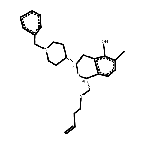 C=CCCNC[C@@H]1O[C@H](C2CCN(Cc3ccccc3)CC2)Cc2c1ccc(C)c2O